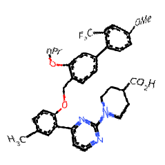 CCCOc1cc(-c2ccc(OC)cc2C(F)(F)F)ccc1COc1ccc(C)cc1-c1ccnc(N2CCC(C(=O)O)CC2)n1